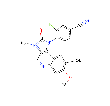 COc1cc2ncc3c(c2cc1C)n(-c1ccc(C#N)cc1F)c(=O)n3C